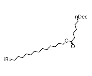 CCCCCCCCCCCCCCCC(=O)OCCCCCCCCCCCCCC(C)CC